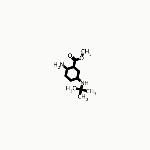 COC(=O)C1CC(NC(C)(C)C)CCC1N